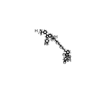 NC(=S)c1cccc(-c2cn(C3CCC(F)(F)CC3)c3cc(NC(=O)CCCOCCCOCCCCc4cccc5c4C(=O)N(C4CCC(=O)NC4=O)C5=O)ccc23)c1